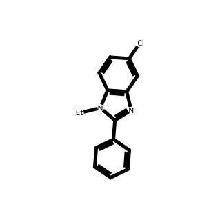 CCn1c(-c2cc[c]cc2)nc2cc(Cl)ccc21